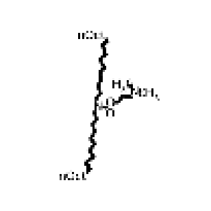 CCCCCCCCC=CCCCCCCCCN(CCCCCCCCC=CCCCCCCCC)C(=O)OCCCN(C)C